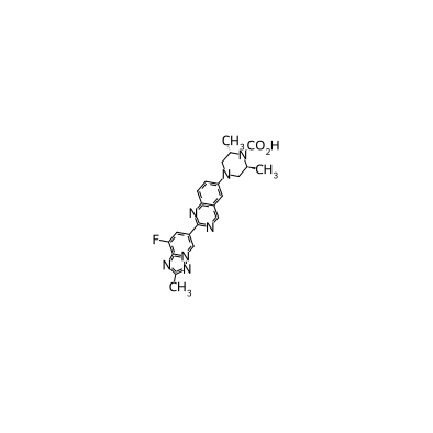 Cc1nc2c(F)cc(-c3ncc4cc(N5C[C@H](C)N(C(=O)O)[C@@H](C)C5)ccc4n3)cn2n1